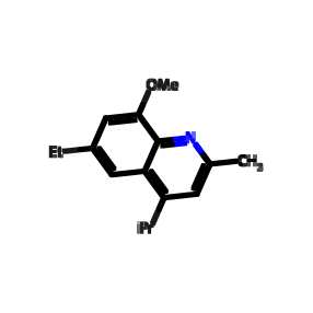 CCc1cc(OC)c2nc(C)cc(C(C)C)c2c1